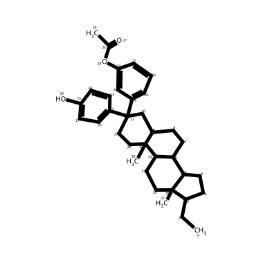 CCC1CCC2C3CCC4CC(c5ccc(O)cc5)(c5cccc(OC(C)=O)c5)CCC4(C)C3CCC12C